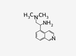 CN(C)CC(N)c1cccc2cnccc12